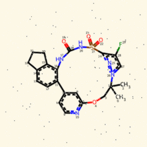 CC1(C)COc2cc(ccn2)-c2ccc3c(c2NC(=O)NS(=O)(=O)c2nn1cc2F)CCC3